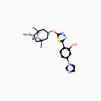 CO[C@@H]1C[C@H]2C[C@H](Oc3nnc(-c4ccc(-n5ccnc5)cc4O)s3)C[C@@H]1N2C